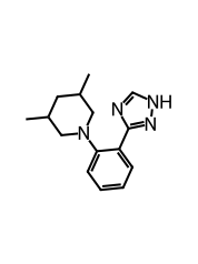 CC1CC(C)CN(c2ccccc2-c2nc[nH]n2)C1